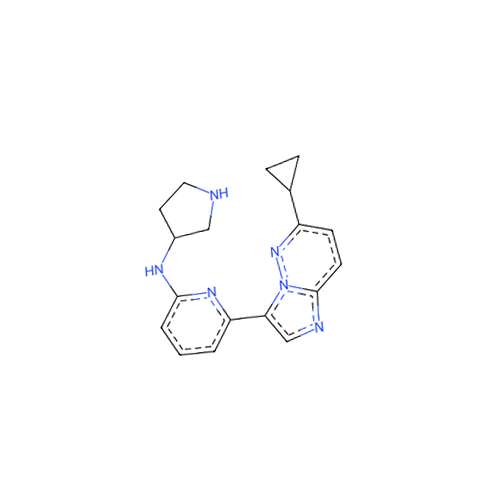 c1cc(NC2CCNC2)nc(-c2cnc3ccc(C4CC4)nn23)c1